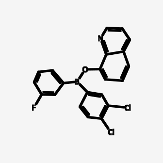 Fc1cccc(B(Oc2cccc3cccnc23)c2ccc(Cl)c(Cl)c2)c1